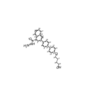 NNC(=O)c1cc(-c2ccc(-c3ccc(OCCCCO)cc3)cc2)nc2ccncc12